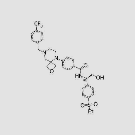 CCS(=O)(=O)c1ccc([C@H](CO)NC(=O)c2ccc(N3CCN(Cc4ccc(C(F)(F)F)cc4)CC34COC4)cc2)cc1